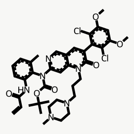 C=CC(=O)Nc1cccc(C)c1N(C(=O)OC(C)(C)C)c1cc2c(cn1)cc(-c1c(Cl)c(OC)cc(OC)c1Cl)c(=O)n2CCCN1CCN(C)CC1